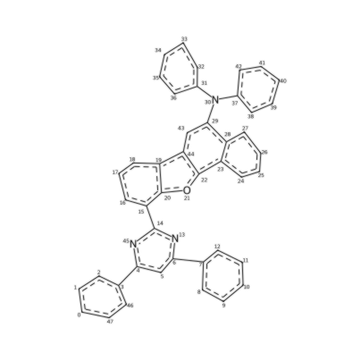 c1ccc(-c2cc(-c3ccccc3)nc(-c3cccc4c3oc3c5ccccc5c(N(c5ccccc5)c5ccccc5)cc43)n2)cc1